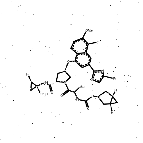 CC[C@@H]1C[C@]1(NC(=O)[C@@H]1C[C@@H](Oc2cc(-c3nc(C(C)C)cs3)nc3c(Cl)c(OC)ccc23)CN1C(=O)C(NC(=O)OC1C[C@@H]2C[C@@H]2C1)C(C)(C)C)C(=O)O